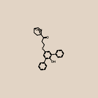 O=C(CCSc1cc(-c2ccccc2)c(O)c(-c2ccccc2)c1)C12CCC(CC1)CNC2